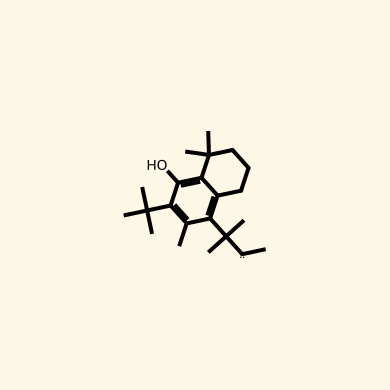 C[C]C(C)(C)c1c(C)c(C(C)(C)C)c(O)c2c1CCCC2(C)C